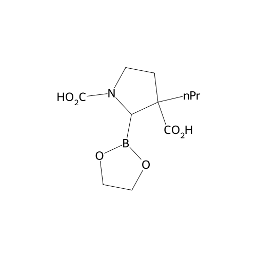 CCCC1(C(=O)O)CCN(C(=O)O)C1B1OCCO1